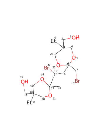 CCC1(CO)COC(CBr)(CC(Br)C2(C)OCC(CC)(CO)CO2)OC1